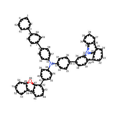 c1ccc(-c2ccc(-c3ccc(N(c4ccc(-c5ccc6c7cccc8c9ccccc9n(c6c5)c87)cc4)c4ccc(-c5cccc6c5oc5ccccc56)cc4)cc3)cc2)cc1